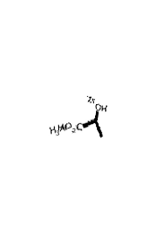 CC(O)C(=O)O.[AlH3].[Zr]